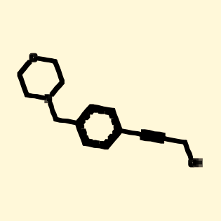 OCC#Cc1ccc(CN2CCOCC2)cc1